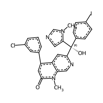 Cn1cncc1[C@@](O)(c1ccc(I)cc1)c1cc2c(-c3cccc(Cl)c3)cc(=O)n(C)c2cn1